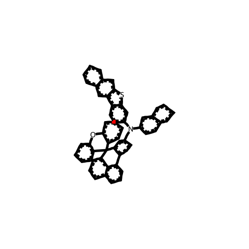 c1ccc2c(c1)Oc1ccccc1C21c2cc(N(c3ccc4ccccc4c3)c3ccc4c(c3)sc3cc5ccccc5cc34)ccc2-c2cccc3cccc1c23